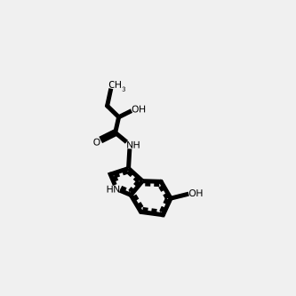 CCC(O)C(=O)Nc1c[nH]c2ccc(O)cc12